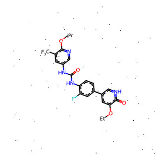 CCOc1cc(-c2ccc(NC(=O)Nc3cnc(OC(C)C)c(C(F)(F)F)c3)c(F)c2)c[nH]c1=O